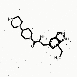 CCc1cc(CC(N)C(=O)N2CCC(N3CCNCC3)CC2)cc2cn[nH]c12